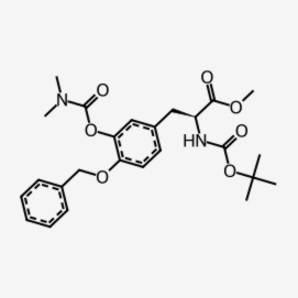 COC(=O)[C@H](Cc1ccc(OCc2ccccc2)c(OC(=O)N(C)C)c1)NC(=O)OC(C)(C)C